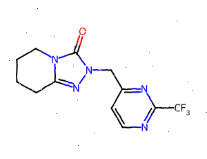 O=c1n(Cc2ccnc(C(F)(F)F)n2)nc2n1CCCC2